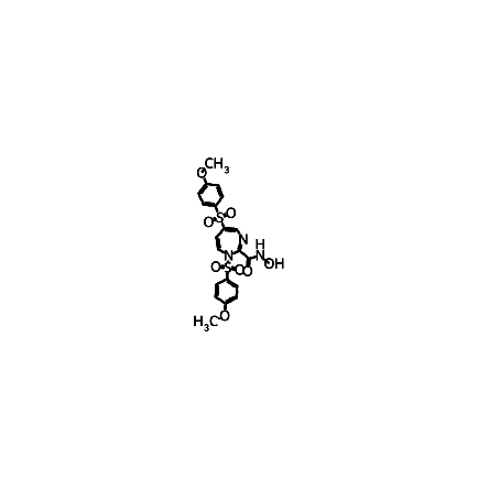 COc1ccc(S(=O)(=O)C2=CN=C(C(=O)NO)N(S(=O)(=O)c3ccc(OC)cc3)C=C2)cc1